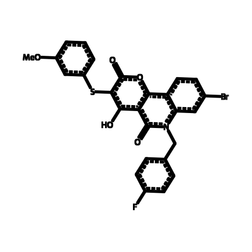 COc1cccc(Sc2c(O)c3c(=O)n(Cc4ccc(F)cc4)c4cc(Br)ccc4c3oc2=O)c1